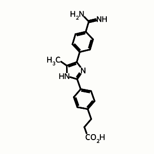 Cc1[nH]c(-c2ccc(CCC(=O)O)cc2)nc1-c1ccc(C(=N)N)cc1